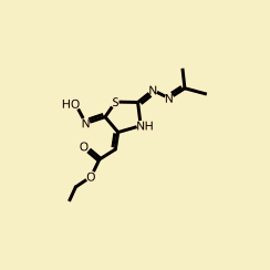 CCOC(=O)C=C1NC(=NN=C(C)C)SC1=NO